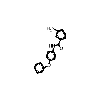 Nc1cccc(C(=O)Nc2ccc(Oc3ccccc3)cc2)c1